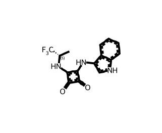 C[C@H](Nc1c(Nc2c[nH]c3ccccc23)c(=O)c1=O)C(F)(F)F